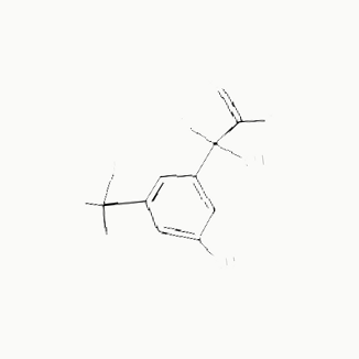 Cc1cc(C(F)(F)F)cc(C(C)(C)C(=O)Cl)c1